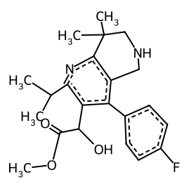 COC(=O)C(O)c1c(C(C)C)nc2c(c1-c1ccc(F)cc1)CNCC2(C)C